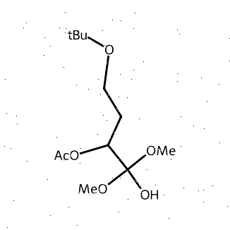 COC(O)(OC)C(CCOC(C)(C)C)OC(C)=O